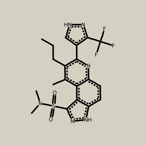 CCCc1c(-c2c[nH]nc2C(F)(F)F)nc2ccc3[nH]nc(S(=O)(=O)N(C)C)c3c2c1C